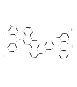 Cc1ccc(N(c2ccc3c(c2)Oc2cccc4c2c-3cc2c3ccccc3c(B(c3ccc(C)cc3C)c3c(C)cc(C)cc3C)cc42)c2c(C)cc(C)cc2C)cc1